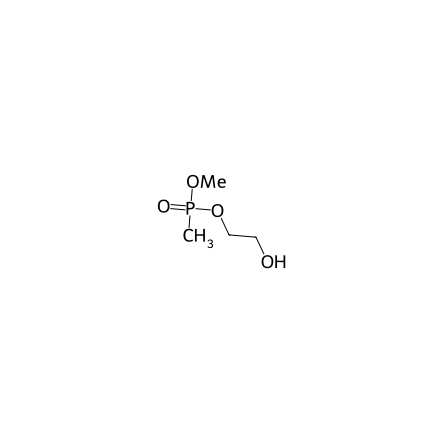 COP(C)(=O)OCCO